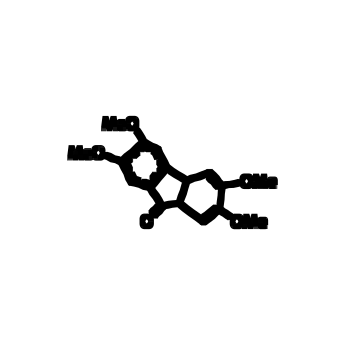 COC1=CC2C(=O)c3cc(OC)c(OC)cc3C2C=C1OC